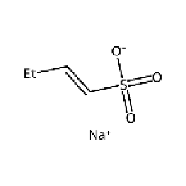 CCC=CS(=O)(=O)[O-].[Na+]